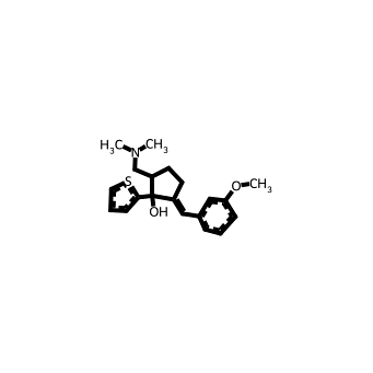 COc1cccc(/C=C2\CCC(CN(C)C)C2(O)c2cccs2)c1